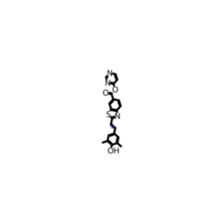 Cc1cc(/C=C/c2nc3ccc(C(=O)Oc4ccncn4)cc3s2)cc(C)c1O